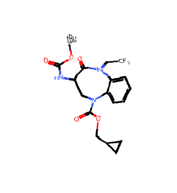 CC(C)(C)OC(=O)NC1CN(C(=O)OCC2CC2)c2ccccc2N(CC(F)(F)F)C1=O